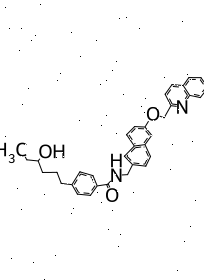 CCC(O)CCCc1ccc(C(=O)NCc2ccc3cc(OCc4ccc5ccccc5n4)ccc3c2)cc1